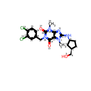 Cn1c(N[C@H]2CC[C@@H](CO)C2)nc2c1c(=O)n(Cc1ccc(Cl)c(Cl)c1)c(=O)n2C